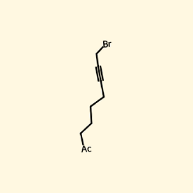 CC(=O)CCCCC#CCBr